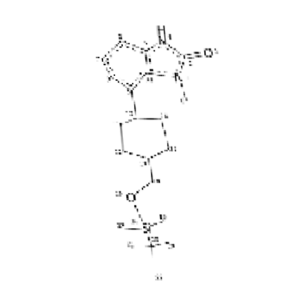 Cn1c(=O)[nH]c2cccc(C3CCC(CO[Si](C)(C)C(C)(C)C)CC3)c21